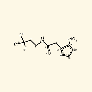 CCC(F)(F)CCNC(=O)Cn1ccnc1[N+](=O)[O-]